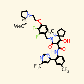 COC[C@@H]1CCCN1CCOc1ccc(CN2C(=O)C(C(=O)Nc3ccc(C(F)(F)F)cc3-c3cc(C(F)(F)F)ncn3)=C(O)C3(CCCC3)N2C)c(F)c1F